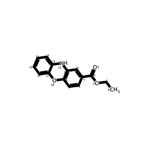 CCOC(=O)c1ccc2c(c1)Nc1ccccc1O2